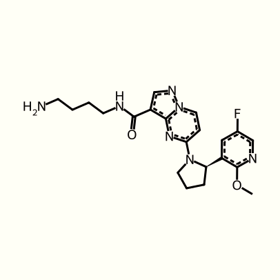 COc1ncc(F)cc1[C@H]1CCCN1c1ccn2ncc(C(=O)NCCCCN)c2n1